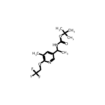 Cc1cc(C(C)NC(=O)OC(C)(C)C)cnc1OCC(F)(F)F